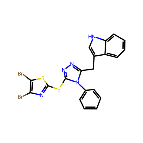 Brc1nc(Sc2nnc(Cc3c[nH]c4ccccc34)n2-c2ccccc2)sc1Br